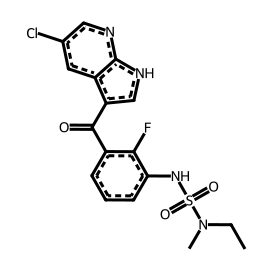 CCN(C)S(=O)(=O)Nc1cccc(C(=O)c2c[nH]c3ncc(Cl)cc23)c1F